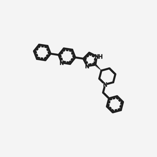 c1ccc(CN2CCC[C@@H](c3nc(-c4ccc(-c5ccccc5)nc4)c[nH]3)C2)cc1